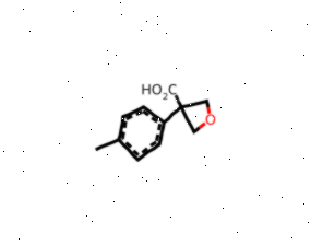 Cc1ccc(C2(C(=O)O)COC2)cc1